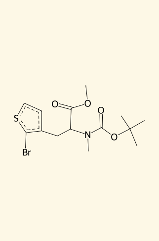 COC(=O)C(Cc1ccsc1Br)N(C)C(=O)OC(C)(C)C